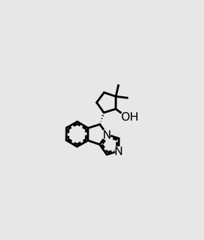 CC1(C)CCC([C@H]2c3ccccc3-c3cncn32)C1O